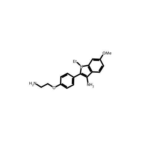 CCn1c(-c2ccc(OCCN)cc2)c(N)c2ccc(OC)cc21